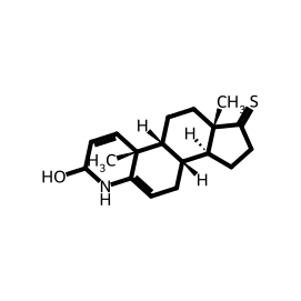 C[C@]12C=CC(O)NC1=CC[C@@H]1[C@H]2CC[C@]2(C)C(=S)CC[C@@H]12